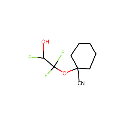 N#CC1(OC(F)(F)C(O)F)CCCCC1